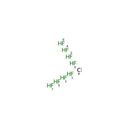 F.F.F.F.F.F.F.F.[C]